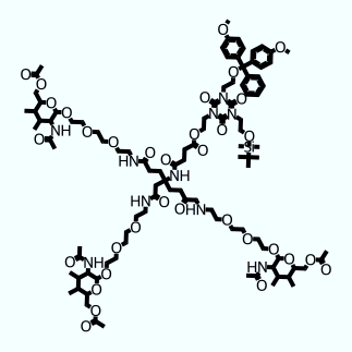 COc1ccc(C(OCCn2c(=O)n(CCOC(=O)CCC(=O)NC(CCC(=O)CNCCOCCOCCOC3OC(COC(C)=O)C(C)C(C)C3NC(C)=O)(CCC(=O)NCCOCCOCCOC3OC(COC(C)=O)C(C)C(C)C3NC(C)=O)CC(=O)NCCOCCOCCOC3OC(COC(C)=O)C(C)C(C)C3NC(C)=O)c(=O)n(CCO[Si](C)(C)C(C)(C)C)c2=O)(c2ccccc2)c2ccc(OC)cc2)cc1